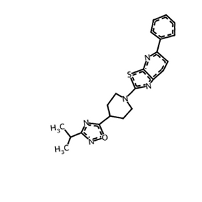 CC(C)c1noc(C2CCN(c3nc4ccc(-c5ccccc5)nc4s3)CC2)n1